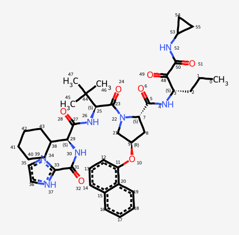 CCC[C@H](NC(=O)[C@@H]1C[C@@H](Oc2cccc3ccccc23)CN1C(=O)[C@@H](NC(=O)[C@@H](NC(=O)c1ncc[nH]1)C1CCCCC1)C(C)(C)C)C(=O)C(=O)NC1CC1